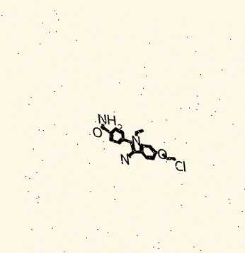 CCn1c(-c2ccc(C(N)=O)cc2)c(C#N)c2ccc(OCCCl)cc21